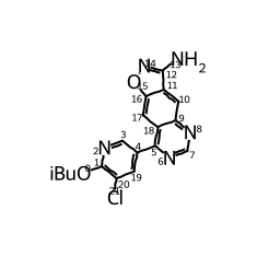 CC(C)COc1ncc(-c2ncnc3cc4c(N)noc4cc23)cc1Cl